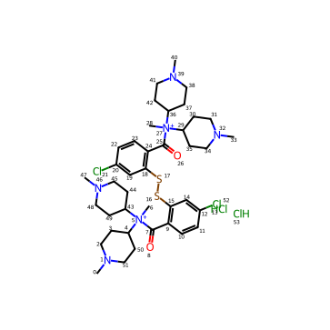 CN1CCC([N+](C)(C(=O)c2ccc(Cl)cc2SSc2cc(Cl)ccc2C(=O)[N+](C)(C2CCN(C)CC2)C2CCN(C)CC2)C2CCN(C)CC2)CC1.Cl.Cl